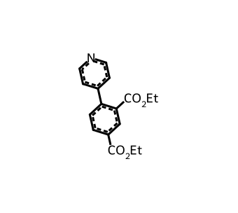 CCOC(=O)c1ccc(-c2ccncc2)c(C(=O)OCC)c1